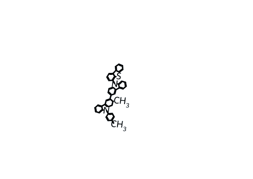 Cc1ccc(-n2c3c(c4ccccc42)C=C(c2ccc4c(c2)c2ccccc2n4-c2cccc4c2sc2ccccc24)C(C)C3)cc1